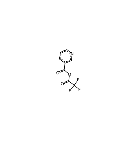 O=C(OC(=O)C(F)(F)F)c1cccnc1